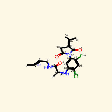 C/C=C/CNC(=O)C(C)Nc1cc(N2C(=O)CC(=C(C)C)C2=O)c(F)cc1Cl